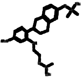 COc1ccc(C2CCc3cc(O[Si](C)(C)C(C)(C)C)ccc3C2)c(NCCO[SiH](C)C(C)(C)C)c1